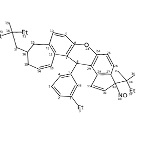 CCc1cccc(C2c3c(ccc4c3C=CCC(CC(C)(CC)CC)C4)Oc3ccc4c(c32)C=CC4(N=O)C(C)(C)CC)c1